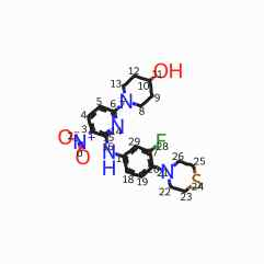 O=[N+]([O-])c1ccc(N2CCC(O)CC2)nc1Nc1ccc(N2CCSCC2)c(F)c1